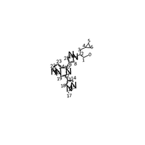 CCC(CC1CC1)n1cc(-c2nc(-c3cnn(C)c3)cn3nccc23)cn1